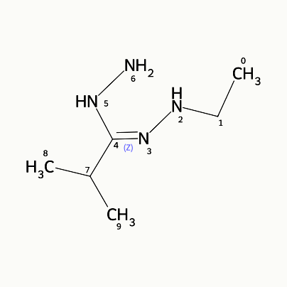 CCN/N=C(\NN)C(C)C